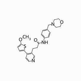 COc1ccc(-c2ccncc2CCC(=O)Nc2ccc(CN3CCOCC3)cc2)s1